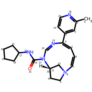 Cc1cc(C2=CC=CN3CC[C@@H](C3)N(C(=O)NC3CCCC3)C=N2)ccn1